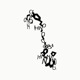 Cc1cc(S(=O)(=O)NCCOCCOCCNC(=O)CCc2ccc(Cl)c(N3CCC(=O)NC3=O)c2)ccc1Nc1ncc2cc(Cl)c(=O)n(C3CCCC3)c2n1